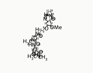 COc1cc2c(cc1OCCCC(=O)Nc1cc(C(=O)Nc3cc(C(=O)N(C)C)n(C)c3)n(C)c1)N=C[C@@H]1CCCN1C2=O